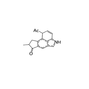 CC(=O)C1C=Cc2[nH]cc3cc4c(c1c23)CC(C)C4=O